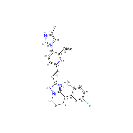 COc1nc(/C=C/c2nc3n(n2)CCCC3c2cc(F)ccc2C(F)(F)F)ccc1-n1cnc(C)c1